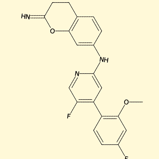 COc1cc(F)ccc1-c1cc(Nc2ccc3c(c2)OC(=N)CC3)ncc1F